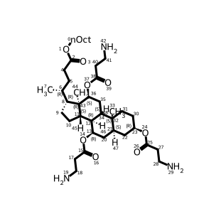 CCCCCCCCOC(=O)CC[C@@H](C)[C@H]1CC[C@H]2[C@@H]3[C@H](OC(=O)CCN)C[C@@H]4C[C@H](OC(=O)CCN)CC[C@]4(C)[C@H]3C[C@H](OC(=O)CCN)[C@]12C